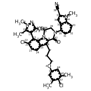 Cc1cc(OCCCc2c3n(c4c(-c5c(C)nn(C)c5C)c(Cl)ccc24)[C@H](C)CN(c2cccc4c2cc(C#N)n4C)C3=O)cc(C)c1Cl